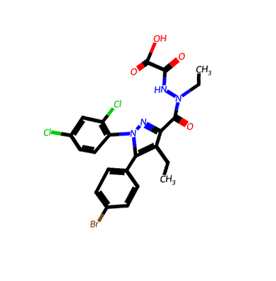 CCc1c(C(=O)N(CC)NC(=O)C(=O)O)nn(-c2ccc(Cl)cc2Cl)c1-c1ccc(Br)cc1